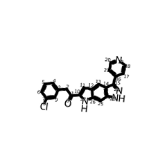 O=C(Cc1cccc(Cl)c1)c1cc2cc3c(-c4ccncc4)n[nH]c3cc2[nH]1